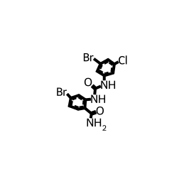 NC(=O)c1ccc(Br)cc1NC(=O)Nc1cc(Cl)cc(Br)c1